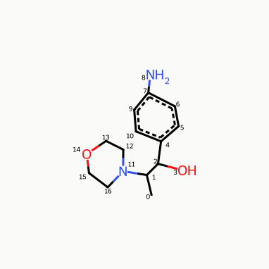 CC(C(O)c1ccc(N)cc1)N1CCOCC1